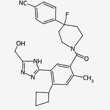 Cc1cc(C2CCC2)c(-c2nnc(CO)[nH]2)cc1C(=O)N1CCC(F)(c2ccc(C#N)cc2)CC1